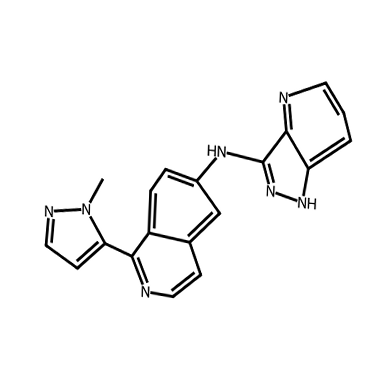 Cn1nccc1-c1nccc2cc(Nc3n[nH]c4cccnc34)ccc12